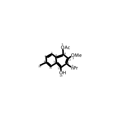 CCCc1c(OC)c(OC(C)=O)c2ccc(C)cc2c1O